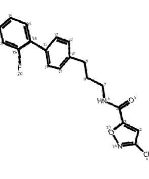 Cc1cc(C(=O)NCCCc2ccc(-c3ccccc3F)cc2)on1